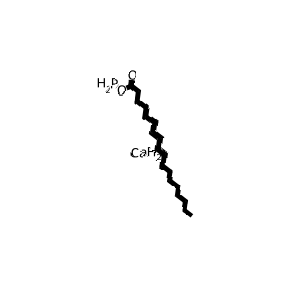 CCCCCCCCCCCCCCCCCC(=O)OP.[CaH2]